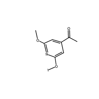 COc1cc(C(C)=O)cc(OI)n1